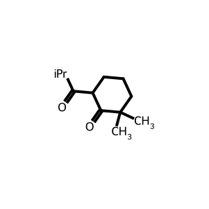 CC(C)C(=O)C1CCCC(C)(C)C1=O